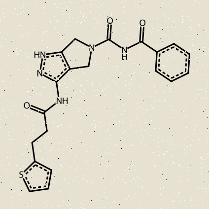 O=C(CCc1cccs1)Nc1n[nH]c2c1CN(C(=O)NC(=O)c1ccccc1)C2